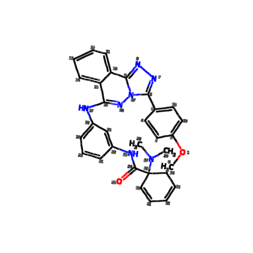 COc1ccc(-c2nnc3c4ccccc4c(Nc4cccc(NC(=O)C5(N(C)C)C=CC=CC5)c4)nn23)cc1